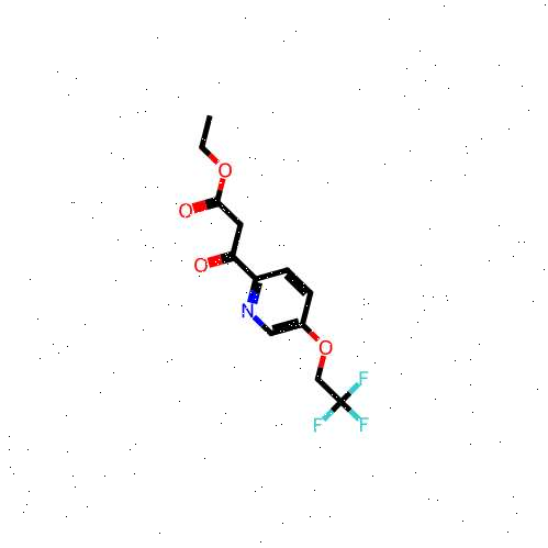 CCOC(=O)CC(=O)c1ccc(OCC(F)(F)F)cn1